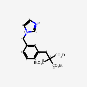 CCOC(=O)C(Cc1cccc(Cn2ccnc2)c1)(C(=O)OCC)C(=O)OCC